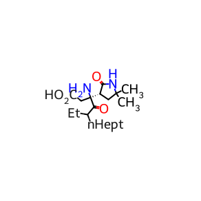 CCCCCCCC(CC)C(=O)C(N)(CC(=O)O)[C@H]1CC(C)(C)NC1=O